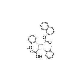 COc1ccccc1[C@H]1[C@H](C(=O)O)[C@H](c2ccccc2C)[C@H]1C(=O)Oc1cccc2ccccc12